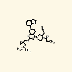 C=CC(=O)N1CCN(c2nc(OCC3(CN(C)C)CC3)nc3c2CCN(c2cccc4c2OCC4)C3)CC1CC#N